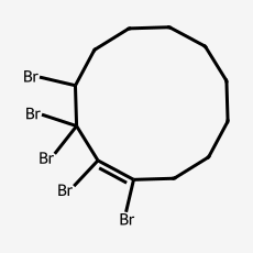 BrC1=C(Br)C(Br)(Br)C(Br)CCCCCCCC1